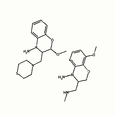 CNCC1COc2c(OC)cccc2N1N.COC1Oc2ccccc2N(N)C1CN1CCSCC1